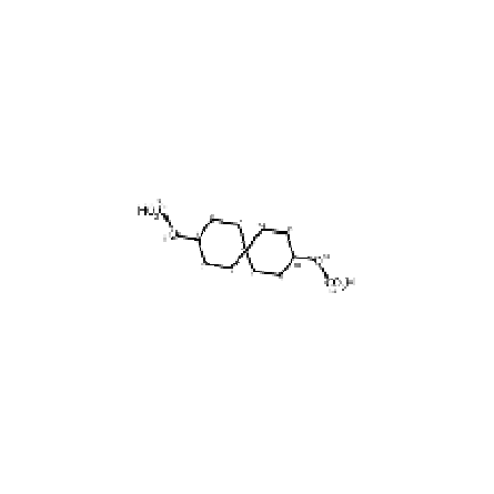 O=C(O)OC1CCC2(CC1)CCC(OC(=O)O)CC2